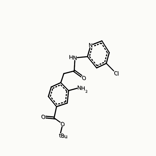 CC(C)(C)OC(=O)c1ccc(CC(=O)Nc2cc(Cl)ccn2)c(N)c1